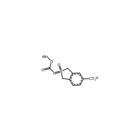 CC(C)(C)OC(=O)N=S1(=O)Cc2ccc(C(=O)O)cc2C1